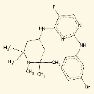 CN1C(C)(C)CC(Nc2nc(Nc3cccc(Br)c3)ncc2F)CC1(C)C